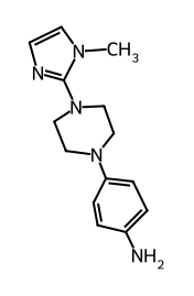 Cn1ccnc1N1CCN(c2ccc(N)cc2)CC1